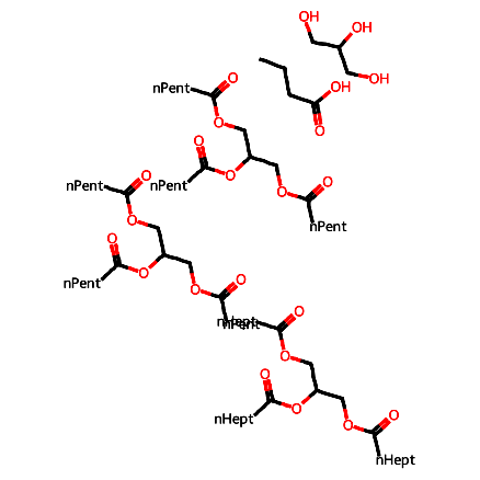 CCCC(=O)O.CCCCCC(=O)OCC(COC(=O)CCCCC)OC(=O)CCCCC.CCCCCC(=O)OCC(COC(=O)CCCCC)OC(=O)CCCCC.CCCCCCCC(=O)OCC(COC(=O)CCCCCCC)OC(=O)CCCCCCC.OCC(O)CO